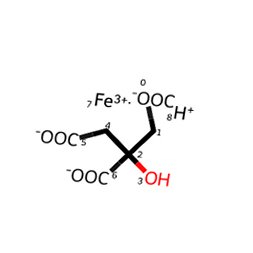 O=C([O-])CC(O)(CC(=O)[O-])C(=O)[O-].[Fe+3].[H+]